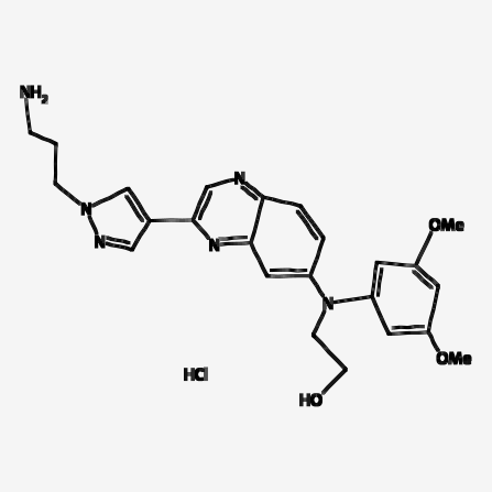 COc1cc(OC)cc(N(CCO)c2ccc3ncc(-c4cnn(CCCN)c4)nc3c2)c1.Cl